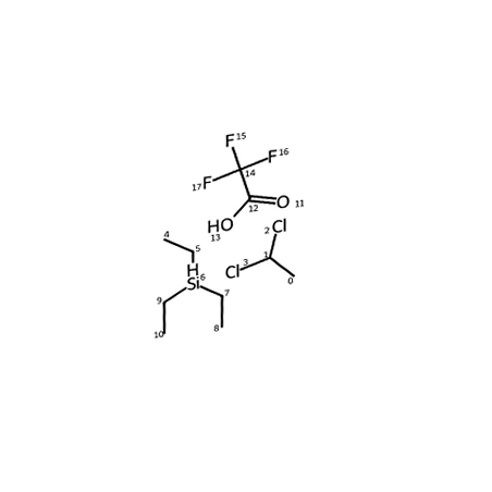 CC(Cl)Cl.CC[SiH](CC)CC.O=C(O)C(F)(F)F